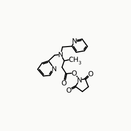 CC(CC(=O)ON1C(=O)CCC1=O)N(Cc1ccccn1)Cc1ccccn1